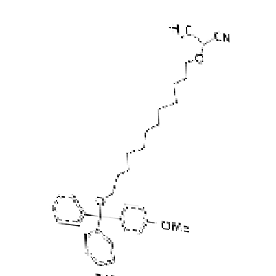 [CH2]C(C#N)OCCCCCCCCCCCCOC(c1ccccc1)(c1ccc(OC)cc1)c1ccc(OC)cc1